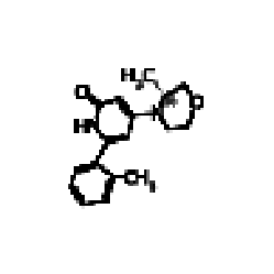 Cc1ccccc1-c1cc(N2CCOC[C@H]2C)cc(=O)[nH]1